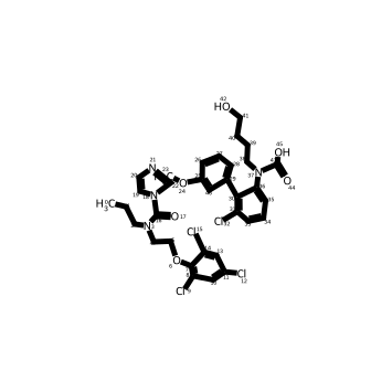 CCCN(CCOc1c(Cl)cc(Cl)cc1Cl)C(=O)n1ccnc1.COc1cccc(-c2c(Cl)cccc2N(CCCCO)C(=O)O)c1